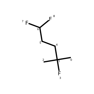 CC(C)(F)C[CH]C(F)F